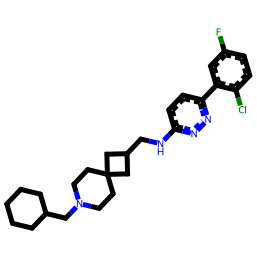 Fc1ccc(Cl)c(-c2ccc(NCC3CC4(CCN(CC5CCCCC5)CC4)C3)nn2)c1